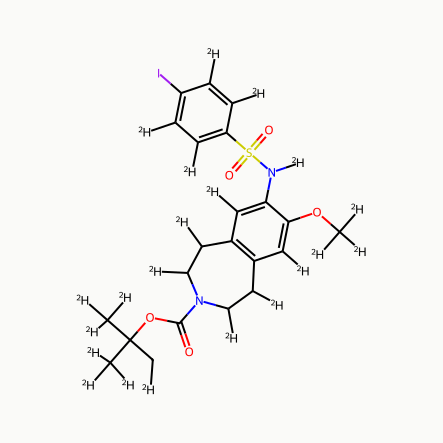 [2H]CC(OC(=O)N1C([2H])C([2H])c2c([2H])c(OC([2H])([2H])[2H])c(N([2H])S(=O)(=O)c3c([2H])c([2H])c(I)c([2H])c3[2H])c([2H])c2C([2H])C1[2H])(C([2H])([2H])[2H])C([2H])([2H])[2H]